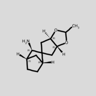 CC1O[C@@H]2CC3(C[C@H]2O1)[C@@H]1CC[C@@H](C1)[C@H]3N